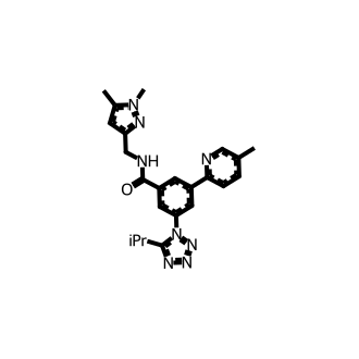 Cc1ccc(-c2cc(C(=O)NCc3cc(C)n(C)n3)cc(-n3nnnc3C(C)C)c2)nc1